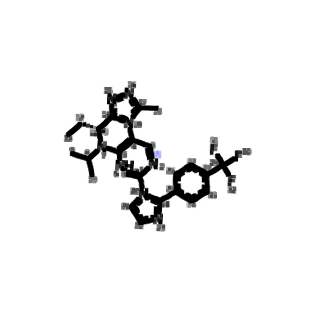 C=C(/N=C\C1=C(N)N(C(C)C)[C@H](CC)c2nnc(C)n21)n1ccnc1-c1ccc(C(F)(F)F)cc1